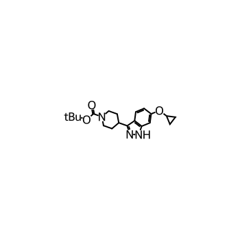 CC(C)(C)OC(=O)N1CCC(c2n[nH]c3cc(OC4CC4)ccc23)CC1